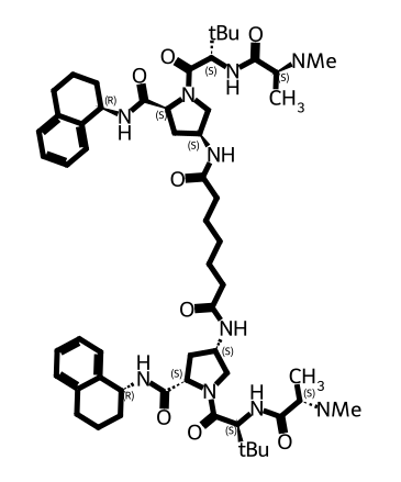 CN[C@@H](C)C(=O)N[C@H](C(=O)N1C[C@@H](NC(=O)CCCCCC(=O)N[C@H]2C[C@@H](C(=O)N[C@@H]3CCCc4ccccc43)N(C(=O)[C@@H](NC(=O)[C@H](C)NC)C(C)(C)C)C2)C[C@H]1C(=O)N[C@@H]1CCCc2ccccc21)C(C)(C)C